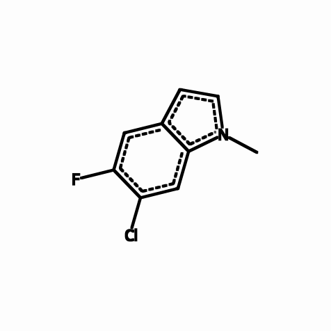 Cn1ccc2cc(F)c(Cl)cc21